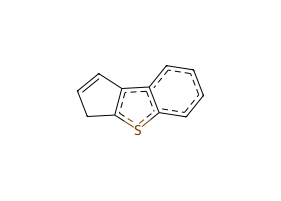 C1=Cc2c(sc3ccccc23)C1